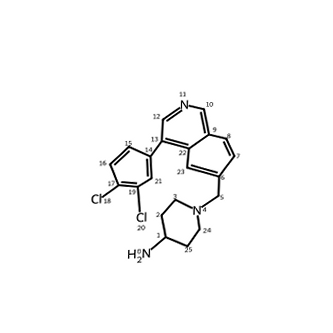 NC1CCN(Cc2ccc3cncc(-c4ccc(Cl)c(Cl)c4)c3c2)CC1